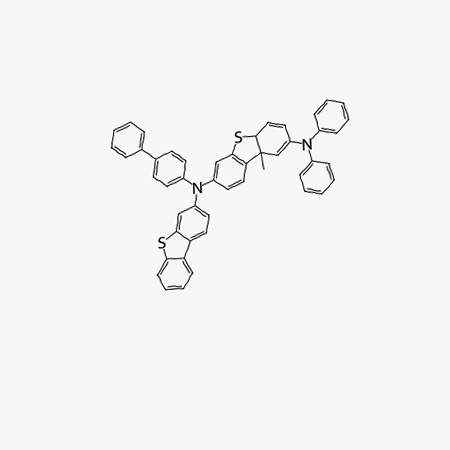 CC12C=C(N(c3ccccc3)c3ccccc3)C=CC1Sc1cc(N(c3ccc(-c4ccccc4)cc3)c3ccc4c(c3)sc3ccccc34)ccc12